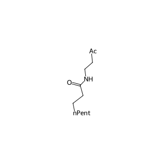 CCCCCCCC(=O)NCCC(C)=O